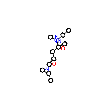 c1ccc(-c2ccc(-c3nc(-c4ccccc4)nc(-c4cc(-c5cccc(-c6ccc7oc8cc(-n9c%10ccccc%10c%10cc(-c%11ccccc%11)ccc%109)ccc8c7c6)c5)cc5oc6ccccc6c45)n3)cc2)cc1